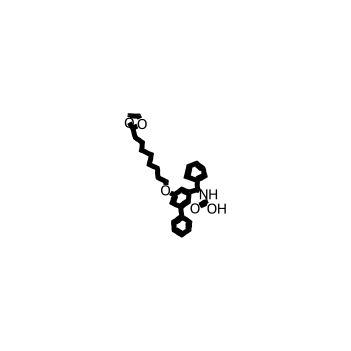 O=C(O)NC(c1ccccc1)c1cc(OCCCCCCCCC2OCCO2)cc(-c2ccccc2)c1